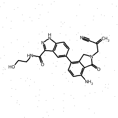 C=C(C#N)CN1Cc2c(-c3ccc4[nH]nc(C(=O)NCCO)c4c3)ccc(N)c2C1=O